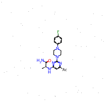 CC(=O)c1cc(N[C@@H](C)C(N)=O)nc(N2CCN(c3ccc(F)cc3)CC2)n1